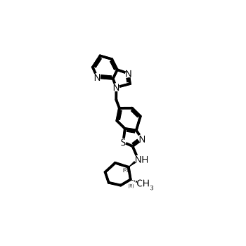 C[C@@H]1CCCC[C@H]1Nc1nc2ccc(Cn3cnc4cccnc43)cc2s1